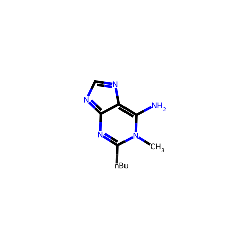 CCCCc1nc2ncnc-2c(N)n1C